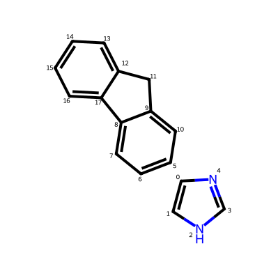 c1c[nH]cn1.c1ccc2c(c1)Cc1ccccc1-2